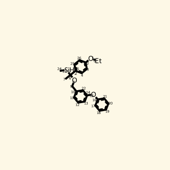 CCOc1ccc(C(C)(OCc2cccc(Oc3ccccc3)c2)[SiH2]C)cc1